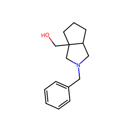 OCC12CCCC1CN(Cc1ccccc1)C2